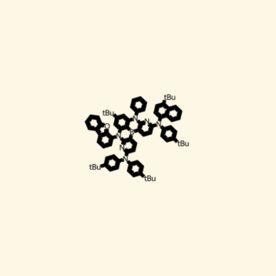 CC(C)(C)c1ccc(N(c2ccc(C(C)(C)C)cc2)c2ccc3c(n2)N(c2cccc4c2oc2ccccc24)c2cc(C(C)(C)C)cc4c2B3c2ccc(N(c3ccc(C(C)(C)C)cc3)c3ccc(C(C)(C)C)c5ccccc35)nc2N4c2ccccc2)cc1